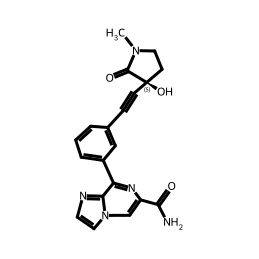 CN1CC[C@](O)(C#Cc2cccc(-c3nc(C(N)=O)cn4ccnc34)c2)C1=O